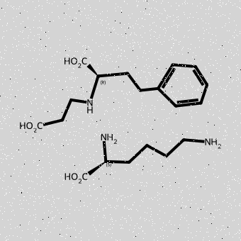 NCCCC[C@H](N)C(=O)O.O=C(O)CCN[C@H](CCc1ccccc1)C(=O)O